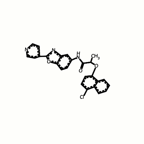 CC(Oc1ccc(Cl)c2ccccc12)C(=O)Nc1ccc2oc(-c3ccncc3)nc2c1